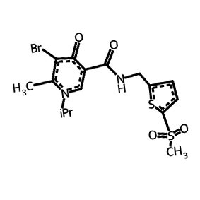 Cc1c(Br)c(=O)c(C(=O)NCc2ccc(S(C)(=O)=O)s2)cn1C(C)C